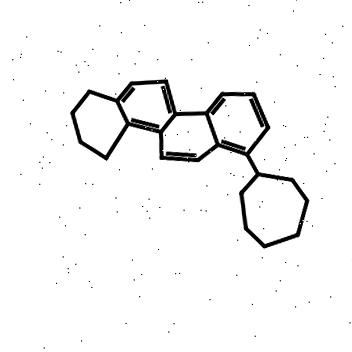 c1cc(C2CCCCCC2)c2ccc3c4c(ccc3c2c1)CCCC4